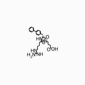 N=C(N)NCCCCC(=O)N[C@H](Cc1ccc(-c2ccccc2)cc1)C(=O)NCCCC(=O)O